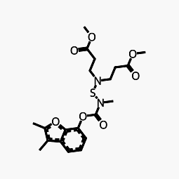 COC(=O)CCN(CCC(=O)OC)SN(C)C(=O)Oc1cccc2c(C)c(C)oc12